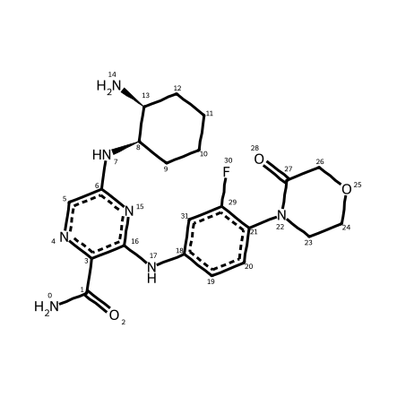 NC(=O)c1ncc(N[C@@H]2CCCC[C@@H]2N)nc1Nc1ccc(N2CCOCC2=O)c(F)c1